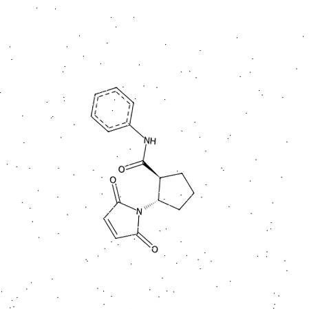 O=C(Nc1ccccc1)[C@H]1CCC[C@@H]1N1C(=O)C=CC1=O